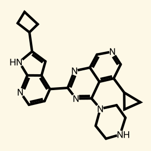 c1cc(-c2nc(N3CCNCC3)c3c(C4CC4)cncc3n2)c2cc(C3CCC3)[nH]c2n1